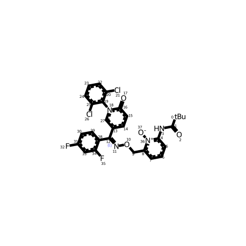 CC(C)(C)C(=O)Nc1cccc(CO/N=C(\c2ccc(=O)n(-c3c(Cl)cccc3Cl)c2)c2ccc(F)cc2F)[n+]1[O-]